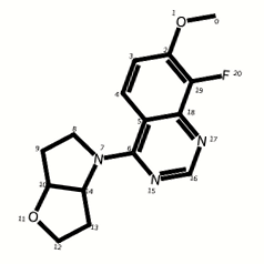 COc1ccc2c(N3CCC4OCCC43)ncnc2c1F